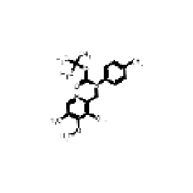 COc1c(C)cnc(CN(C(=O)OC(C)(C)C)c2ccc(C)cc2)c1C